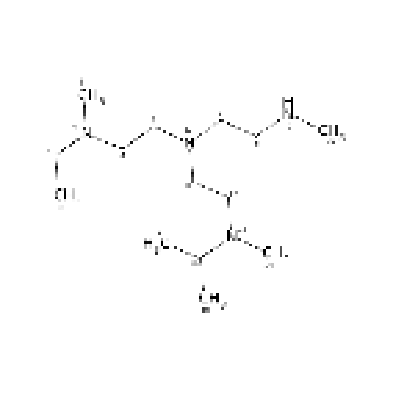 CCN(C)CCN(CCNC)CCN(C)C(C)C